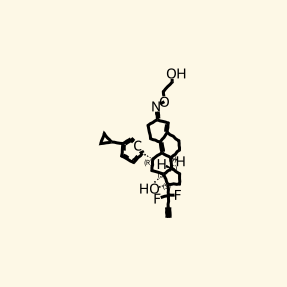 C#CC(F)(F)[C@]1(O)CC[C@H]2[C@@H]3CCC4=CC(=NOCCO)CCC4=C3[C@@H](c3ccc(C4CC4)cc3)C[C@@]21C